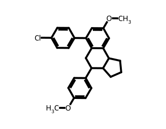 COc1ccc(C2Cc3c(-c4ccc(Cl)cc4)cc(OC)cc3C3CCCC23)cc1